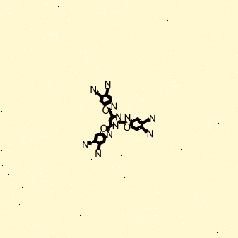 N#Cc1cc2nc(-c3cc(-c4nc5cc(C#N)c(C#N)cc5o4)nc(-c4nc5cc(C#N)c(C#N)cc5o4)n3)oc2cc1C#N